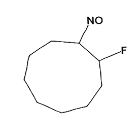 O=NC1CCCCCCCC1F